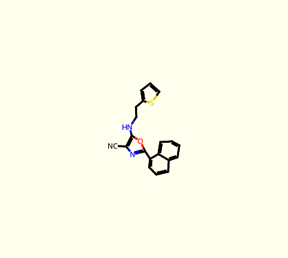 N#Cc1nc(-c2cccc3ccccc23)oc1NCCc1cccs1